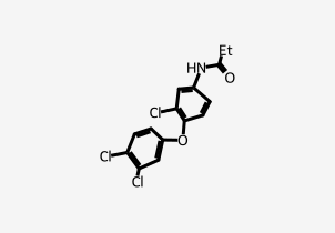 CCC(=O)Nc1ccc(Oc2ccc(Cl)c(Cl)c2)c(Cl)c1